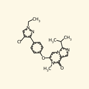 CCn1cc(Cl)c(-c2ccc(Oc3cn4c(C(C)C)ncc4c(=O)n3C)cc2)n1